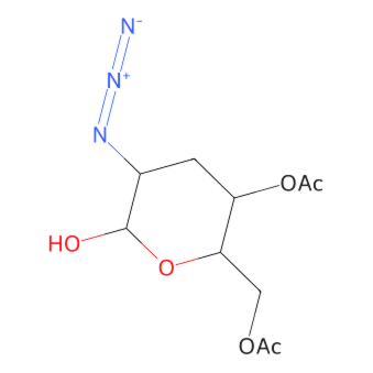 CC(=O)OCC1OC(O)C(N=[N+]=[N-])CC1OC(C)=O